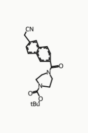 CC(C)(C)OC(=O)N1CCN(C(=O)c2ccc3cc(CC#N)ccc3c2)CC1